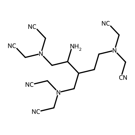 N#CCN(CC#N)CCC(CN(CC#N)CC#N)C(N)CN(CC#N)CC#N